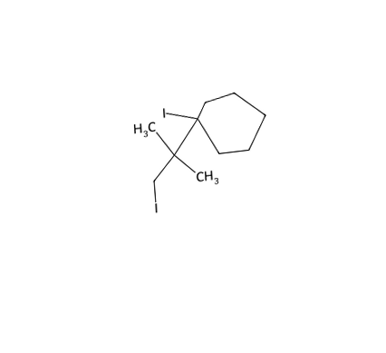 CC(C)(CI)C1(I)CCCCC1